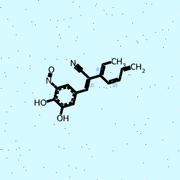 C=C\C=C/C(=C\C)C(/C#N)=C/c1cc(O)c(O)c(N=O)c1